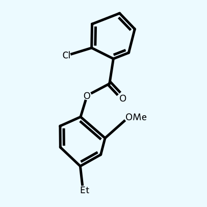 CCc1ccc(OC(=O)c2ccccc2Cl)c(OC)c1